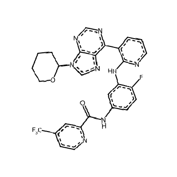 O=C(Nc1ccc(F)c(Nc2ncccc2-c2ncnc3c2ncn3C2CCCCO2)c1)c1cc(C(F)(F)F)ccn1